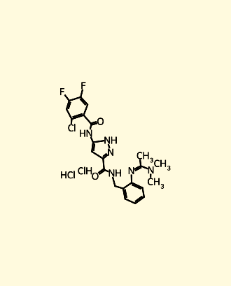 CC(=Nc1ccccc1CNC(=O)c1cc(NC(=O)c2cc(F)c(F)cc2Cl)[nH]n1)N(C)C.Cl.Cl